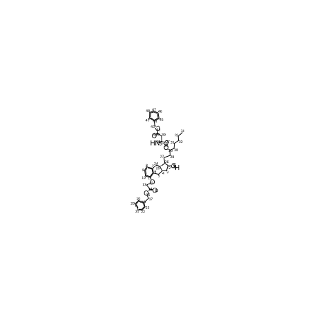 [3H]OC1CC2Cc3c(cccc3OCC(=O)OCc3ccccc3)CC2C1CCC(CCCCC)OOC(=N)CC(=O)OCc1ccccc1